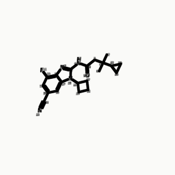 CC(C)(CC(=O)Nc1nc2c(F)cc(C#N)cc2n1C1CCC1)C1CC1